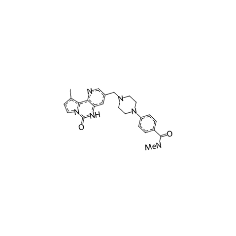 CNC(=O)c1ccc(N2CCN(Cc3cnc4c(c3)[nH]c(=O)n3ccc(C)c43)CC2)cc1